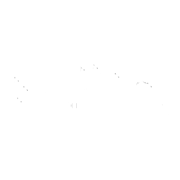 Oc1cc(-n2nccn2)ccc1-c1ccc(N2CC[C@@H](NCC3CC3)C2)nn1